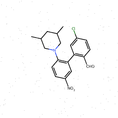 CC1CC(C)CN(c2ccc([N+](=O)[O-])cc2-c2cc(Cl)ccc2C=O)C1